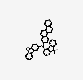 CC1(C)c2ccccc2-c2c(N(c3ccc4c(ccc5c6ccccc6ccc45)c3)c3ccc4oc5ccccc5c4c3)cccc21